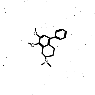 COc1cc(-c2ccccc2)c2c(c1OC)CC(N(C)C)CC2